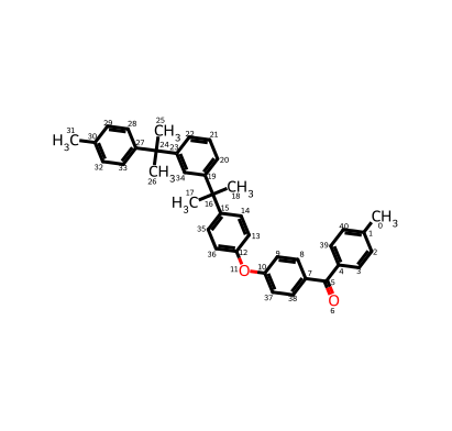 Cc1ccc(C(=O)c2ccc(Oc3ccc(C(C)(C)c4cccc(C(C)(C)c5ccc(C)cc5)c4)cc3)cc2)cc1